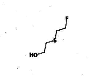 OCCSCCF